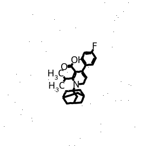 CC(C)C1=C(C(=O)O)C(c2ccc(F)cc2)=CCN1C12CC3CC(CC(C3)C1)C2